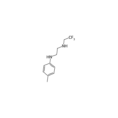 Cc1ccc(NCCNCC(F)(F)F)cc1